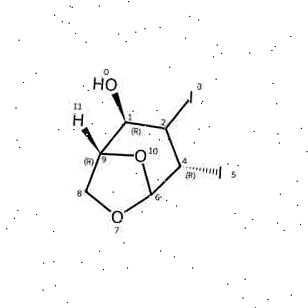 O[C@H]1C(I)[C@H](I)C2OC[C@H]1O2